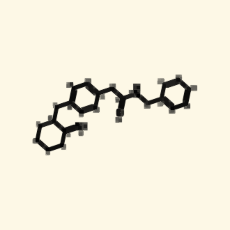 N=C1CCCCC1Cc1ccc(CC(=O)NCc2ccccc2)cc1